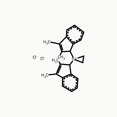 CC1=C(C)[CH]([Ti+2]2([CH]3C(C)=C(C)c4ccccc43)[CH2][CH2]2)c2ccccc21.[Cl-].[Cl-]